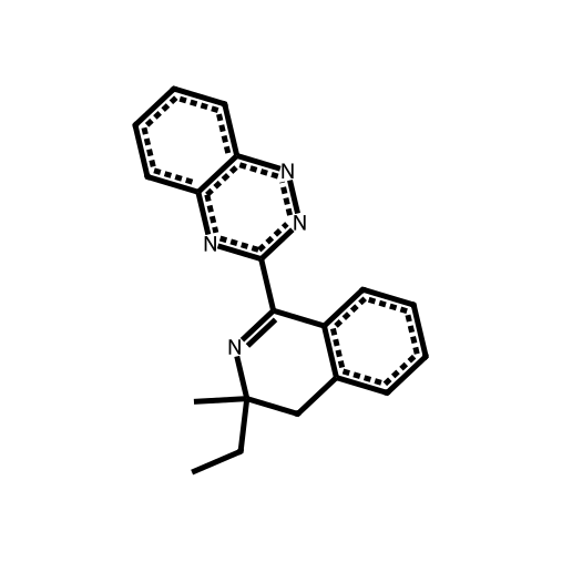 CCC1(C)Cc2ccccc2C(c2nnc3ccccc3n2)=N1